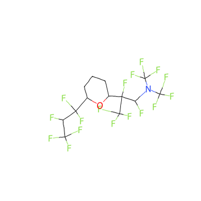 FC(C(F)(F)F)C(F)(F)C1CCCC(C(F)(C(F)N(C(F)(F)F)C(F)(F)F)C(F)(F)F)O1